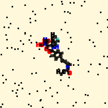 CC(=O)N1CC1C#Cc1ccc(C(=O)N[C@H](C(=O)NO)[C@](C)(O)C(F)F)cc1